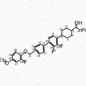 CCCC(O)C1CCC(c2ccc(-c3ccc(COc4ccc(OCC)cc4F)cc3)c(F)c2F)CC1